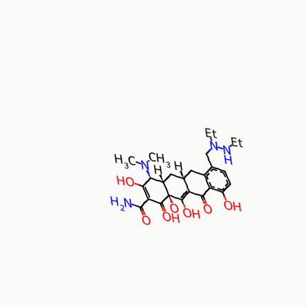 CCNN(CC)Cc1ccc(O)c2c1C[C@H]1C[C@H]3[C@H](N(C)C)C(O)=C(C(N)=O)C(=O)[C@@]3(O)C(O)=C1C2=O